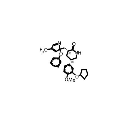 COc1ccc([C@H]2CNC(=O)[C@@H](CC3(Oc4ccccc4)C=C(C(F)(F)F)C=N3)C2)cc1OC1CCCC1